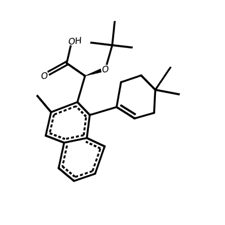 Cc1cc2ccccc2c(C2=CCC(C)(C)CC2)c1[C@H](OC(C)(C)C)C(=O)O